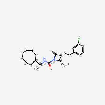 C=C1[C@H](CCc2cccc(Cl)c2)C(C(=O)O)N1C(=O)N[C@@H](C1CCCCCCC1)C(F)(F)F